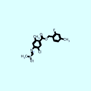 CCN(C)/C=N/c1cc(C)c(C(=O)OCc2ccc(C)cc2F)cc1Cl